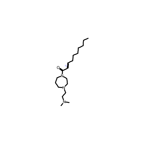 CCCCCCC/C=C/C(=O)N1CCCN(CCN(C)C)CC1